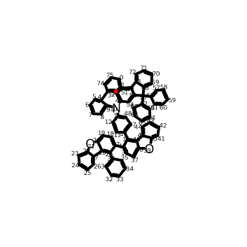 c1ccc(-c2ccccc2N(c2ccc(-c3c(-c4ccc5oc6ccccc6c5c4-c4ccccc4)ccc4oc5ccccc5c34)cc2)c2ccc3c(c2)C(c2ccccc2)(c2ccccc2)c2ccccc2-3)cc1